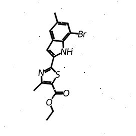 CCOC(=O)c1sc(-c2cc3cc(C)cc(Br)c3[nH]2)nc1C